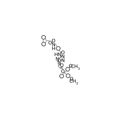 COc1ccc(C(OC[C@@H]2CC[C@@H](n3cnc4c(NC(=O)c5ccc(CNC(=O)OCC6c7ccccc7-c7ccccc76)cc5)ncnc43)O2)(c2ccccc2)c2ccc(OC)cc2)cc1